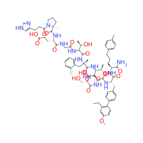 CCc1cc(OC)ccc1-c1ccc(C[C@H](NC(=O)[C@H](CC(=O)O)NC(=O)[C@H](CO)NC(=O)[C@@H](NC(=O)[C@](C)(Cc2ccccc2F)NC(=O)[C@@H](NC(=O)CNC(=O)[C@H](CCC(=O)O)NC(=O)[C@]2(C)CCCN2C(=O)CCc2c[nH]cn2)[C@@H](C)O)[C@@H](C)O)C(=O)N[C@@H](CCCc2ccc(C)cc2)C(N)=O)cc1